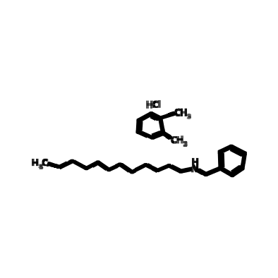 CCCCCCCCCCCCNCc1ccccc1.Cc1ccccc1C.Cl